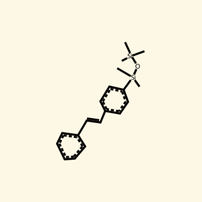 C[Si](C)(C)O[Si](C)(C)c1ccc(C=Cc2ccccc2)cc1